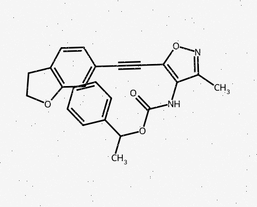 Cc1noc(C#Cc2ccc3c(c2)OCC3)c1NC(=O)OC(C)c1ccccc1